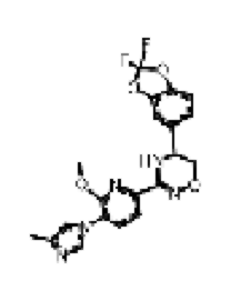 COc1nc(C2=NOCC(c3ccc4c(c3)OC(F)(F)O4)N2)ccc1-n1cnc(C)c1